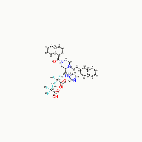 CCCC[C@H]1CN(C(=O)c2cccc3ccccc23)CCN1C(Cc1ccc2ccccc2c1)c1cnc[nH]1.O=C(O)C(F)(F)F.O=C(O)C(F)(F)F